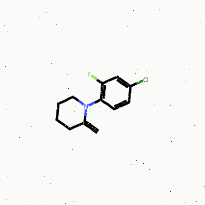 C=C1CCCCN1c1ccc(Cl)cc1F